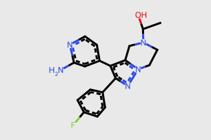 CC(O)N1CCn2nc(-c3ccc(F)cc3)c(-c3ccnc(N)c3)c2C1